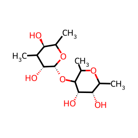 CC1OC(C)[C@H](O)[C@H](O)C1O[C@H]1OC(C)[C@H](O)C(C)[C@H]1O